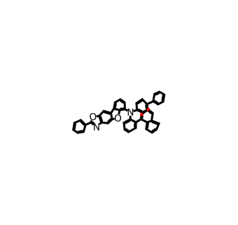 c1ccc(-c2ccc(N(c3ccccc3-c3cccc4ccccc34)c3cccc4c3oc3cc5nc(-c6ccccc6)oc5cc34)cc2)cc1